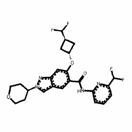 O=C(Nc1cccc(C(F)F)n1)c1cc2cn(C3CCOCC3)nc2cc1O[C@H]1C[C@H](C(F)F)C1